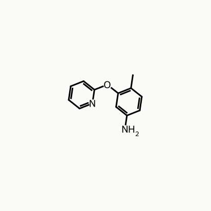 Cc1ccc(N)cc1Oc1ccccn1